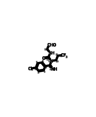 N=C(c1ccc(Cl)cc1)N(CCC(F)(F)F)C(=O)NCC=O